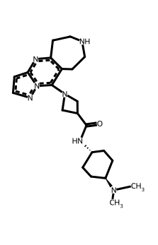 CN(C)[C@H]1CC[C@H](NC(=O)C2CN(c3c4c(nc5ccnn35)CCNCC4)C2)CC1